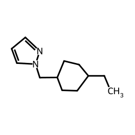 CCC1CCC(Cn2cccn2)CC1